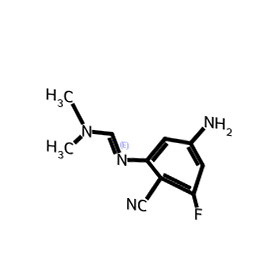 CN(C)/C=N/c1cc(N)cc(F)c1C#N